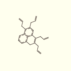 C=CCC1=C(CC=C)c2cc(CC=C)c(CC=C)c3cccc(c23)C1